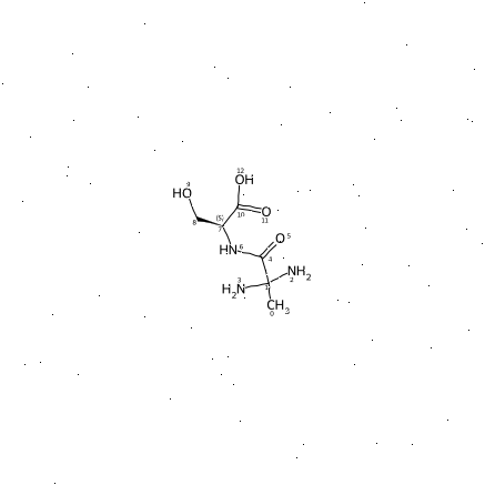 CC(N)(N)C(=O)N[C@@H](CO)C(=O)O